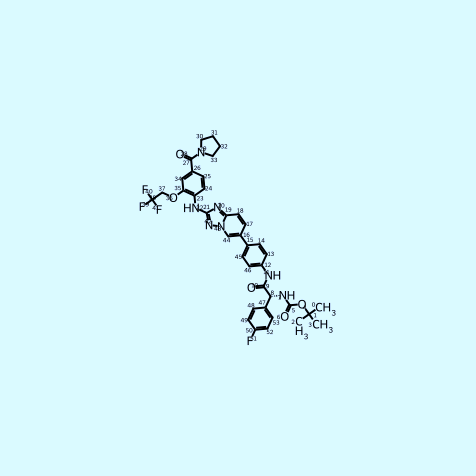 CC(C)(C)OC(=O)N[C@@H](C(=O)Nc1ccc(-c2ccc3nc(Nc4ccc(C(=O)N5CCCC5)cc4OCC(F)(F)F)nn3c2)cc1)c1ccc(F)cc1